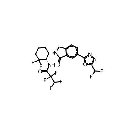 O=C1c2cc(-c3nnc(C(F)F)o3)ccc2CN1[C@@H]1CCCC(F)(F)[C@H]1NC(=O)C(F)(F)C(F)F